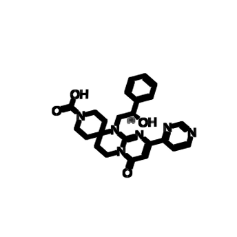 O=C(O)N1CCC2(CC1)CCn1c(nc(-c3ccncn3)cc1=O)N2C[C@H](O)c1ccccc1